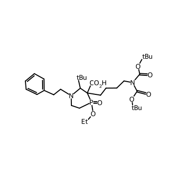 CCOP1(=O)CCN(CCc2ccccc2)C(C(C)(C)C)C1(CCCCN(C(=O)OC(C)(C)C)C(=O)OC(C)(C)C)C(=O)O